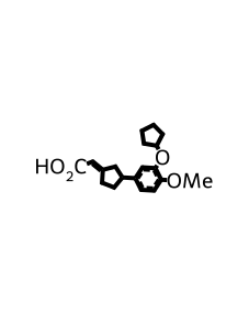 COc1ccc(C2CC/C(=C\C(=O)O)C2)cc1OC1CCCC1